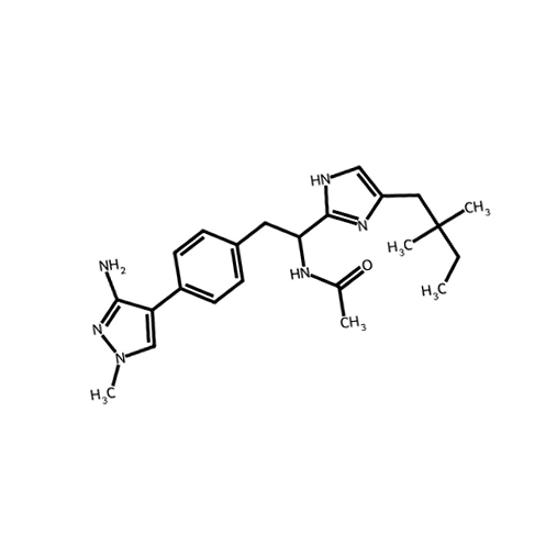 CCC(C)(C)Cc1c[nH]c(C(Cc2ccc(-c3cn(C)nc3N)cc2)NC(C)=O)n1